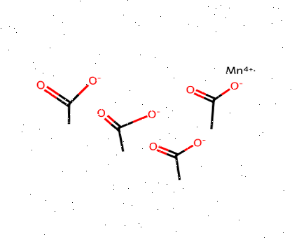 CC(=O)[O-].CC(=O)[O-].CC(=O)[O-].CC(=O)[O-].[Mn+4]